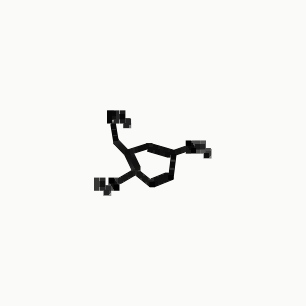 Nc1ccc(N)c(CP)c1